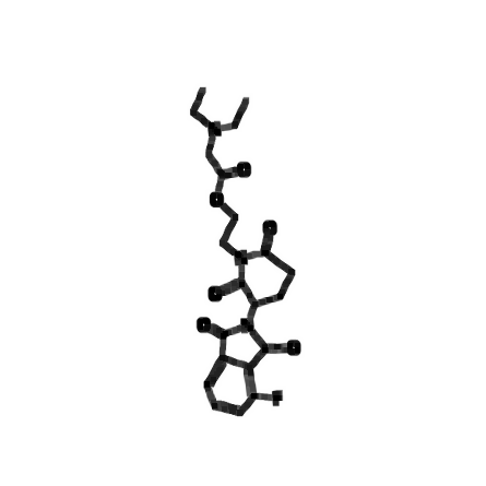 CCN(CC)CC(=O)OCCN1C(=O)CCC(N2C(=O)c3cccc(F)c3C2=O)C1=O